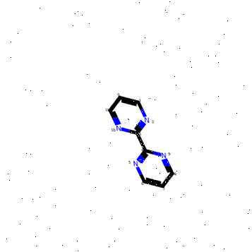 c1cnc(-c2ncccn2)nc1